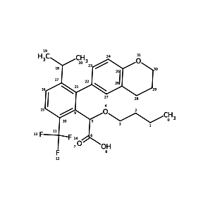 CCCCOC(C(=O)O)c1c(C(F)(F)F)ccc(C(C)C)c1-c1ccc2c(c1)CCCO2